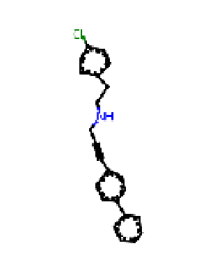 Clc1ccc(CCNCC#Cc2ccc(-c3ccccc3)cc2)cc1